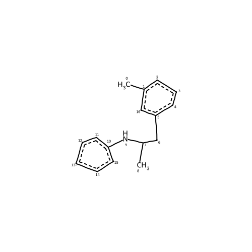 Cc1cccc(CC(C)Nc2cc[c]cc2)c1